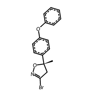 C[C@@]1(c2ccc(Oc3ccccc3)cc2)CC(Br)=NO1